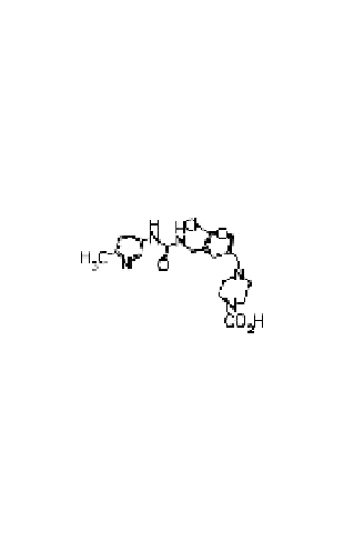 Cc1ccc(NC(=O)NCc2cc(CN3CCN(C(=O)O)CC3)ccc2Cl)cn1